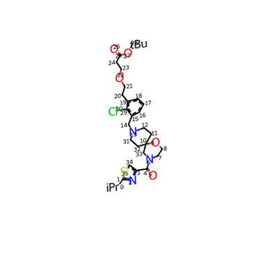 CC(C)c1nc(C(=O)N2CCOC3(CCN(Cc4cccc(CCOCCC(=O)OC(C)(C)C)c4Cl)CC3)C2)cs1